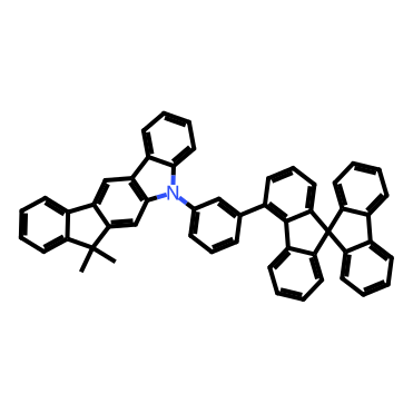 CC1(C)c2ccccc2-c2cc3c4ccccc4n(-c4cccc(-c5cccc6c5-c5ccccc5C65c6ccccc6-c6ccccc65)c4)c3cc21